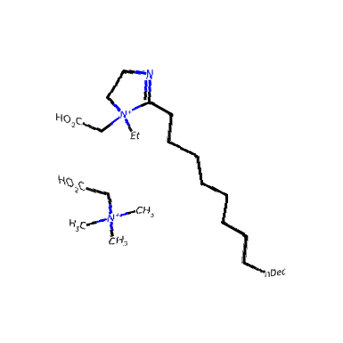 CCCCCCCCCCCCCCCCCCC1=NCC[N+]1(CC)CC(=O)O.C[N+](C)(C)CC(=O)O